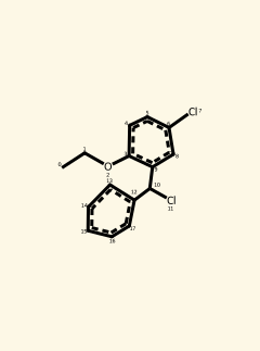 CCOc1ccc(Cl)cc1C(Cl)c1ccccc1